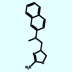 CN(CC1COC(N)=N1)c1ccc2ccccc2c1